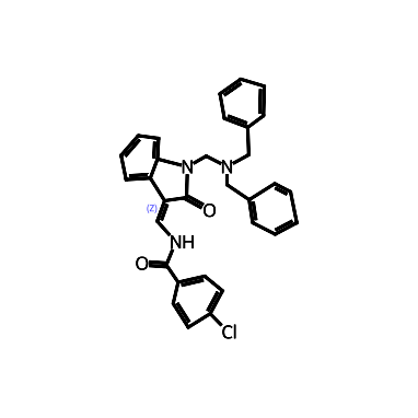 O=C(N/C=C1\C(=O)N(CN(Cc2ccccc2)Cc2ccccc2)c2ccccc21)c1ccc(Cl)cc1